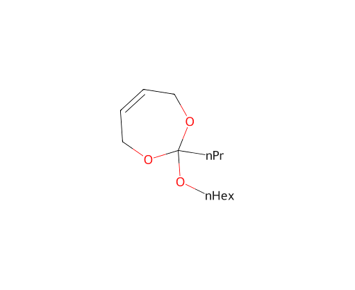 CCCCCCOC1(CCC)OCC=CCO1